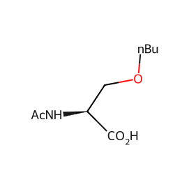 CCCCOC[C@H](NC(C)=O)C(=O)O